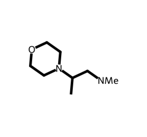 CNCC(C)N1CCOCC1